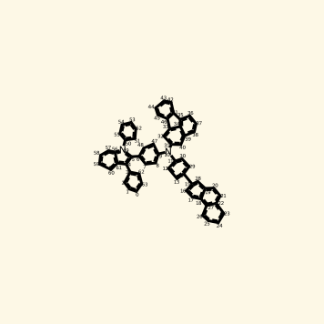 c1ccc(-c2c(-c3ccc(N(c4ccc(-c5ccc6c(ccc7ccccc76)c5)cc4)c4cc5c6c(cccc6c4)-c4ccccc4-5)cc3)n(-c3ccccc3)c3ccccc23)cc1